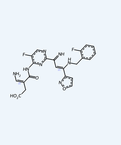 N=C(/C=C(\NCc1ccccc1F)c1ccon1)c1ncc(F)c(NC(=O)/C(=C\N)CC(=O)O)n1